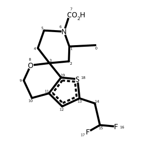 CC1CC2(CCN1C(=O)O)OCCc1cc(CC(F)F)sc12